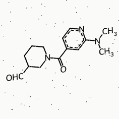 CN(C)c1cc(C(=O)N2CCCC(C=O)C2)ccn1